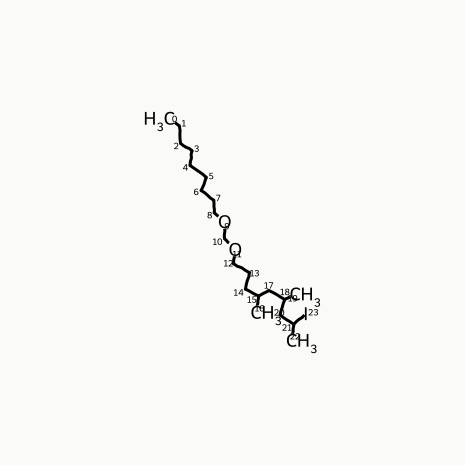 CCCCCCCCCOCOCCCC(C)CC(C)CC(C)I